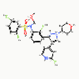 COCN(c1cccc(-c2nn(C3CCOCC3)cc2-c2ccnc(F)c2)c1F)S(=O)(=O)c1cc(F)ccc1F